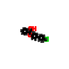 OCC(Oc1ccc(-c2ccc(Cl)cc2)cc1)c1ccccc1